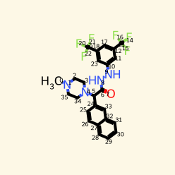 CN1CCN(C(C(=O)NNc2cc(C(F)(F)F)cc(C(F)(F)F)c2)c2ccc3ccccc3c2)CC1